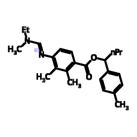 CCCC(OC(=O)c1ccc(/N=C/N(C)CC)c(C)c1C)c1ccc(C)cc1